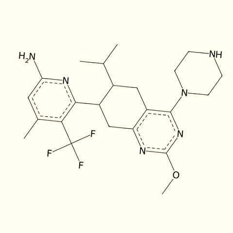 COc1nc2c(c(N3CCNCC3)n1)CC(C(C)C)C(c1nc(N)cc(C)c1C(F)(F)F)C2